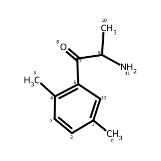 Cc1ccc(C)c(C(=O)C(C)N)c1